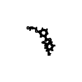 O=[N+]([O-])COc1cccc(-c2nc3cc(Br)ccc3o2)c1